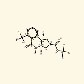 CN1C(=O)c2c(cccc2C(F)(F)F)[C@H]2CN(C(=O)OC(C)(C)C)C[C@H]21